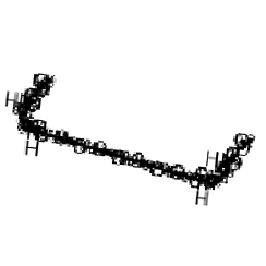 C=CC(=O)OCCOC(=O)NC1CCC(CC2CCC(NC(=O)OCCCCOCCCCOCCCCOCCCCOCCCCOCCCCOCCCCOCCCCOC(=O)NC3CCC(CC4CCC(NC(=O)OCCOC(=O)C=C)CC4)CC3)CC2)CC1